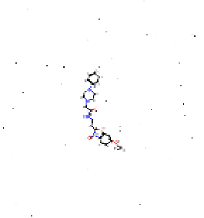 COc1ccc2c(c1)OC(CCNC(=O)CN1CCN(c3ccc(F)cc3)CC1)[N+]2=O